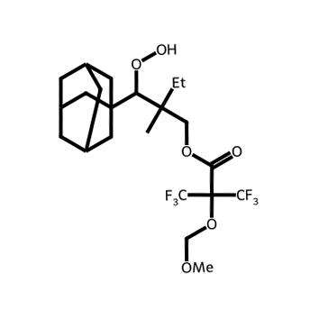 CCC(C)(COC(=O)C(OCOC)(C(F)(F)F)C(F)(F)F)C(OO)C12CC3CC(CC(C3)C1)C2